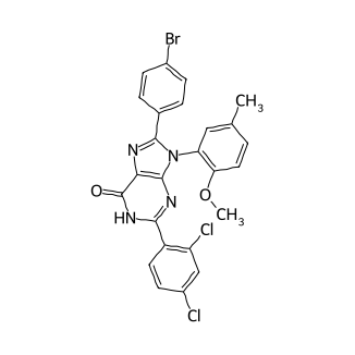 COc1ccc(C)cc1-n1c(-c2ccc(Br)cc2)nc2c(=O)[nH]c(-c3ccc(Cl)cc3Cl)nc21